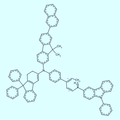 C=C(/C=C\C(=C/C)c1ccc(N(C2=CC3=C(CC2)C(c2ccccc2)(c2ccccc2)c2ccccc23)c2ccc3c(c2)C(C)(C)c2cc(-c4ccc5ccccc5c4)ccc2-3)cc1)c1ccc2c(c1)c1ccccc1n2-c1ccccc1